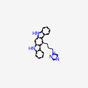 c1ccc2c(c1)[nH]c1cc3[nH]c4ccccc4c3c(CCCn3cncn3)c12